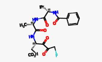 CC(C)[C@H](NC(=O)c1ccccc1)C(=O)N[C@@H](C)C(=O)N[C@@H](CC(=O)O)C(=O)C(=O)CF